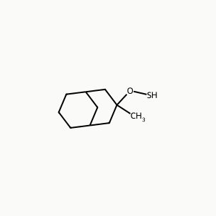 CC1(OS)CC2CCCC(C2)C1